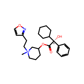 C[N+]1(CCc2ccon2)CCCC(OC(=O)[C@](O)(c2ccccc2)C2CCCCC2)C1